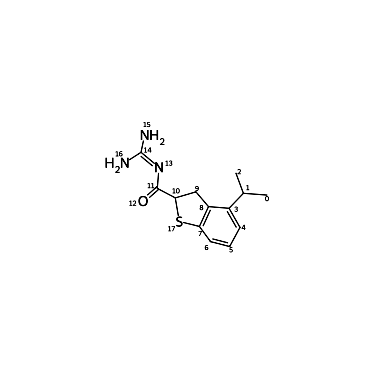 CC(C)c1cccc2c1CC(C(=O)N=C(N)N)S2